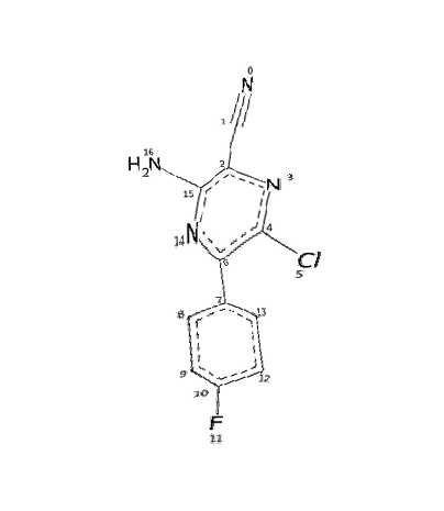 N#Cc1nc(Cl)c(-c2ccc(F)cc2)nc1N